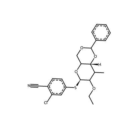 CCOC1C(C)[C@H]2OC(c3ccccc3)OCC2O[C@@H]1Sc1ccc(C#N)c(Cl)c1